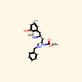 CC(C)(C)OC(=O)N[C@H](CNCc1ccccc1)C[C@H](Cc1cc(O)cc(F)c1)NC=O